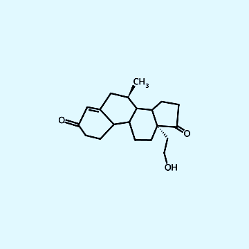 C[C@@H]1CC2=CC(=O)CCC2C2CC[C@]3(CCO)C(=O)CCC3C21